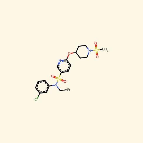 CC(C)CN(c1cccc(Cl)c1)S(=O)(=O)c1ccc(OC2CCN(S(C)(=O)=O)CC2)nc1